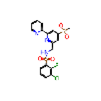 CS(=O)(=O)c1cc(CNS(=O)(=O)c2cccc(Cl)c2F)nc(-c2ccccn2)c1